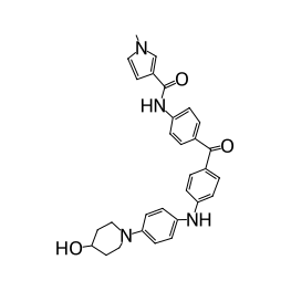 Cn1ccc(C(=O)Nc2ccc(C(=O)c3ccc(Nc4ccc(N5CCC(O)CC5)cc4)cc3)cc2)c1